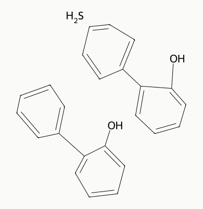 Oc1ccccc1-c1ccccc1.Oc1ccccc1-c1ccccc1.S